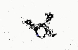 C=C(C)OC(=O)NC1CCCCC/C=C\C2CC2(C(=O)NCCc2cccc(Cl)c2)NC(=O)[C@@H]2CC(OC(=O)N3Cc4cccc(F)c4C3)CN2C1=O